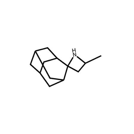 CC1CC2(N1)C1CC3CC(C1)CC2C3